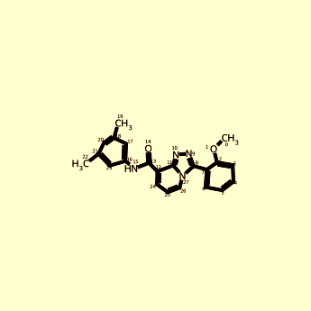 COc1ccccc1-c1nnc2c(C(=O)Nc3cc(C)cc(C)c3)cccn12